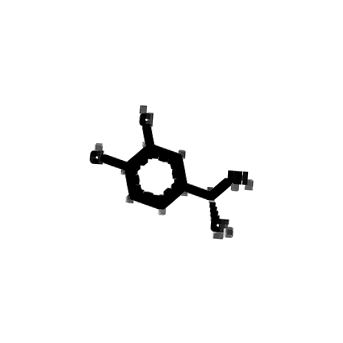 N[C@@H](c1ccc(Cl)c(Cl)c1)C(F)(F)F